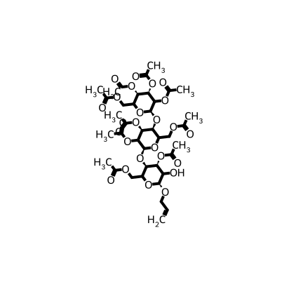 C=CCO[C@@H]1OC(COC(C)=O)[C@@H](O[C@@H]2OC(COC(C)=O)[C@H](O[C@H]3OC(COC(C)=O)[C@H](OC(C)=O)[C@H](OC(C)=O)C3OC(C)=O)[C@H](OC(C)=O)C2OC(C)=O)[C@H](OC(C)=O)C1O